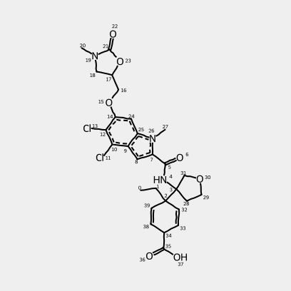 CCC1(C2(NC(=O)c3cc4c(Cl)c(Cl)c(OCC5CN(C)C(=O)O5)cc4n3C)CCOC2)C=CC(C(=O)O)C=C1